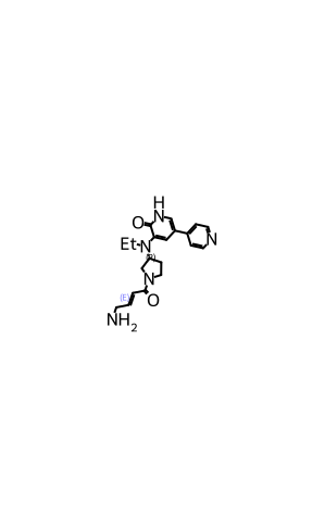 CCN(c1cc(-c2ccncc2)c[nH]c1=O)[C@@H]1CCN(C(=O)/C=C/CN)C1